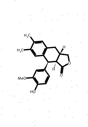 COc1cc([C@H]2c3cc(C)c(C)cc3C[C@@H]3COC(=O)[C@H]32)ccc1O